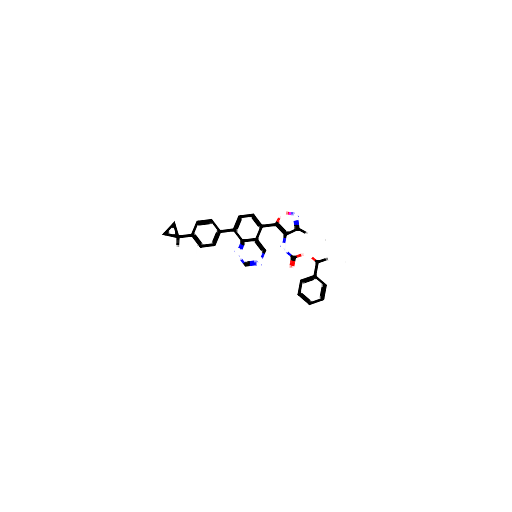 Cc1noc(-c2ccc(-c3ccc(C4(C(=O)O)CC4)cc3)c3ncncc23)c1NC(=O)OC(C)c1ccccc1